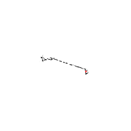 CCCN(OCC)C(=O)C1=Cc2sc(CCC3CCN(C(=O)CCOCCOCCOCCOCCOCCOCCOCCOCCOCCOCCC(=O)Oc4c(F)c(F)c(S(=O)(=O)O)c(F)c4F)CC3)cc2N=C(N)C1